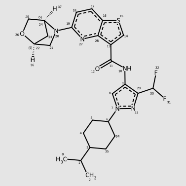 CC(C)C1CCC(n2cc(NC(=O)c3csc4ccc(N5C[C@@H]6C[C@H]5CO6)nc34)c(C(F)F)n2)CC1